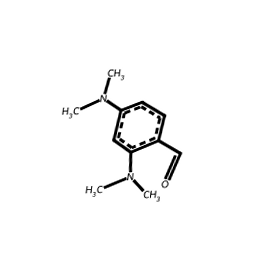 CN(C)c1ccc(C=O)c(N(C)C)c1